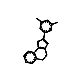 Cc1cc(C)cc(C2=CC3=C(C2)c2ccccc2CC3)c1